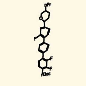 CCCCCCCCCCc1ccc(-c2ccc(-c3ccc(C4CCC(CCC)CO4)cc3F)cc2)c(F)c1F